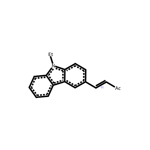 CCn1c2ccccc2c2cc(/C=C/C(C)=O)ccc21